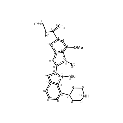 C=C(NCCCCCC)c1cc(OC)c2c(c1)nc(-c1cc3cccc(C4CCNCC4)c3n1CCCC)n2CC